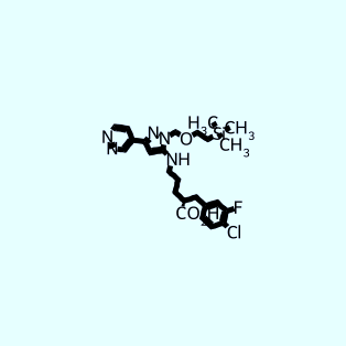 C[Si](C)(C)CCOCn1nc(-c2ccnnc2)cc1NCCC[C@@H](Cc1ccc(Cl)c(F)c1)C(=O)O